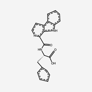 O=C(N[C@@H](Cc1ccccc1)C(=O)O)c1nccc2c1[nH]c1ccccc12